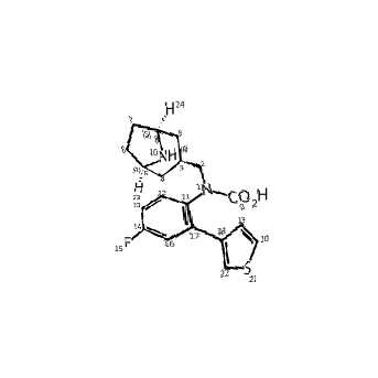 O=C(O)N(C[C@H]1C[C@H]2CC[C@@H](C1)N2)c1ccc(F)cc1-c1ccsc1